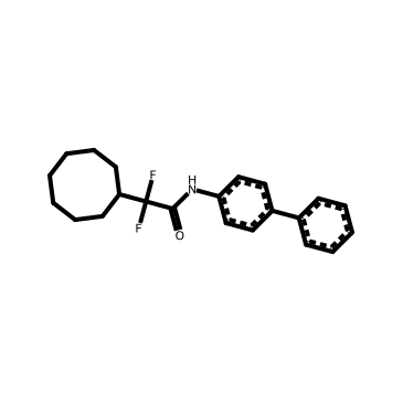 O=C(Nc1ccc(-c2ccccc2)cc1)C(F)(F)C1CCCCCCC1